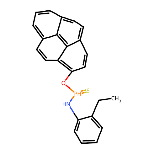 CCc1ccccc1N[PH](=S)Oc1ccc2ccc3cccc4ccc1c2c34